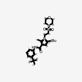 Cc1c(C(=O)Nc2cccc(C(C)(F)F)c2)cc(C(C)(C)C)n1CCS(=O)(=O)N1CCOCC1